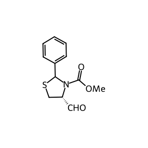 COC(=O)N1C(c2ccccc2)SC[C@H]1C=O